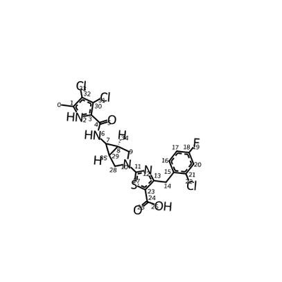 Cc1[nH]c(C(=O)NC2[C@H]3CN(c4nc(Cc5ccc(F)cc5Cl)c(C(=O)O)s4)C[C@@H]23)c(Cl)c1Cl